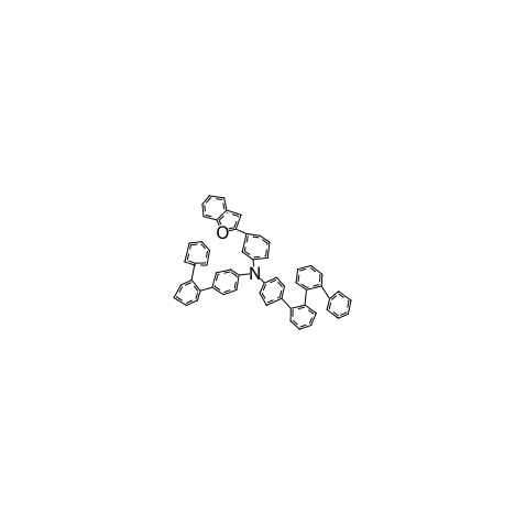 c1ccc(-c2ccccc2-c2ccc(N(c3ccc(-c4ccccc4-c4ccccc4-c4ccccc4)cc3)c3cccc(-c4cc5ccccc5o4)c3)cc2)cc1